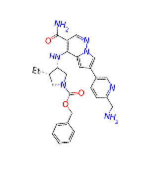 CC[C@H]1CN(C(=O)OCc2ccccc2)C[C@H]1Nc1c(C(N)=O)cnn2cc(-c3ccc(CN)nc3)cc12